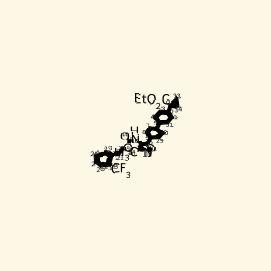 CCOC(=O)C1(c2ccc(-c3ccc(-c4onc(C)c4NC(=O)OCCc4ccccc4C(F)(F)F)cc3)cc2)CC1